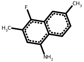 Cc1ccc2c(N)cc(C)c(F)c2c1